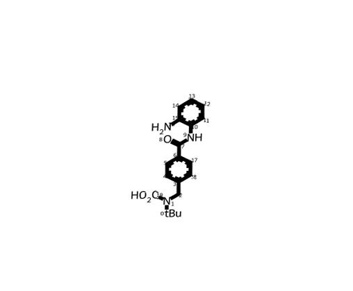 CC(C)(C)N(Cc1ccc(C(=O)Nc2ccccc2N)cc1)C(=O)O